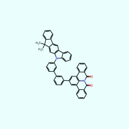 CC1(C)c2ccccc2-c2cc3c4ccccc4n(-c4cccc(-c5cccc(-c6cc7c8ccccc8c(=O)n8c(=O)c9ccccc9c(c6)c78)c5)c4)c3cc21